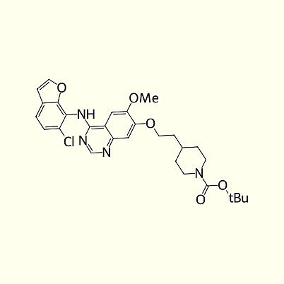 COc1cc2c(Nc3c(Cl)ccc4ccoc34)ncnc2cc1OCCC1CCN(C(=O)OC(C)(C)C)CC1